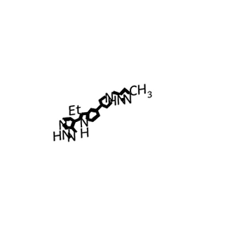 CCc1c(-c2ccnc3[nH]ncc23)[nH]c2ccc(C3CCN(Cc4cc(C)n[nH]4)CC3)cc12